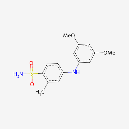 COc1cc(Nc2ccc(S(N)(=O)=O)c(C)c2)cc(OC)c1